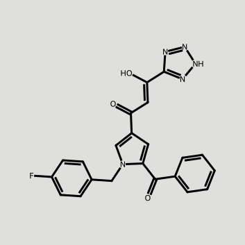 O=C(C=C(O)c1nn[nH]n1)c1cc(C(=O)c2ccccc2)n(Cc2ccc(F)cc2)c1